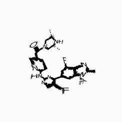 Cc1nc2c(F)cc(-c3nc(Nc4ccc(C(=O)N5C[C@@H](C)N[C@@H](C)C5)cn4)ncc3F)cc2n1C(C)C